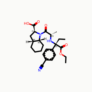 CCOC(=O)[C@@](CC)(N[C@@H](C)C(=O)N1[C@@H]2CCCC[C@@H]2C[C@H]1C(=O)O)c1ccc(C#N)cc1